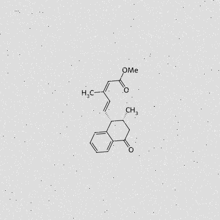 COC(=O)/C=C(C)\C=C\[C@H]1c2ccccc2C(=O)C[C@H]1C